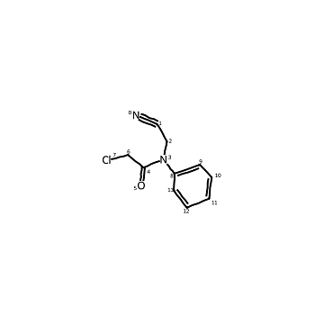 N#CCN(C(=O)CCl)c1ccccc1